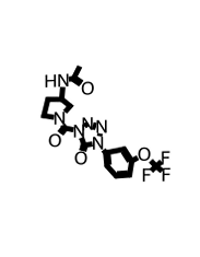 CC(=O)NC1CCN(C(=O)n2nnn(-c3cccc(OC(F)(F)F)c3)c2=O)C1